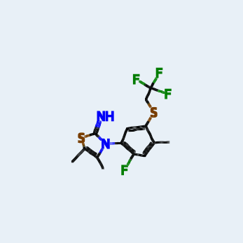 Cc1cc(F)c(-n2c(C)c(C)sc2=N)cc1SCC(F)(F)F